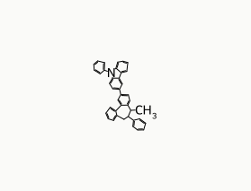 CC1c2ccc(-c3ccc4c(c3)c3ccccc3n4-c3ccccc3)cc2-c2ccccc2CC1c1ccccc1